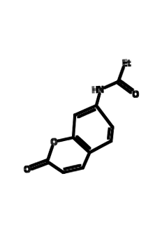 CCC(=O)Nc1ccc2ccc(=O)oc2c1